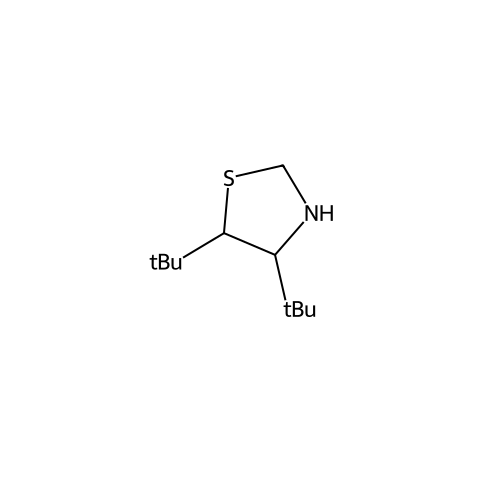 CC(C)(C)C1NCSC1C(C)(C)C